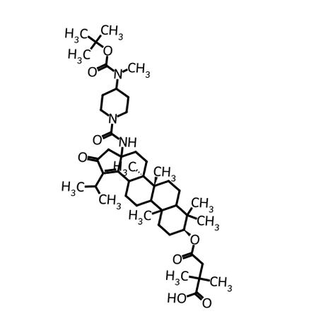 CC(C)C1=C2C3CCC4C5(C)CC[C@H](OC(=O)CC(C)(C)C(=O)O)C(C)(C)C5CC[C@@]4(C)[C@]3(C)CCC2(NC(=O)N2CCC(N(C)C(=O)OC(C)(C)C)CC2)CC1=O